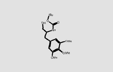 COc1cc(CC(CO)NC(=O)OC(C)(C)C)cc(OC)c1OC